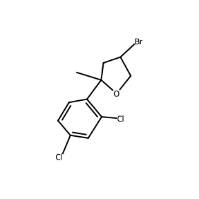 CC1(c2ccc(Cl)cc2Cl)CC(Br)CO1